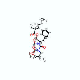 CCCCC(CC)C(=O)OC1OCN(C(=O)N(CC(C)C)C(=O)O)C1Cc1ccccc1